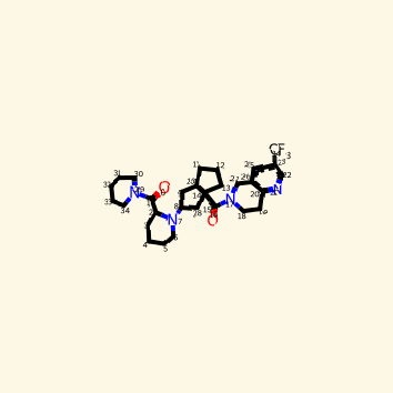 O=C(C1CCCCN1C1CC2CCCC2(C(=O)N2CCc3ncc(C(F)(F)F)cc3C2)C1)N1CCCCC1